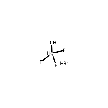 Br.[CH3][Hg]([F])([F])[F]